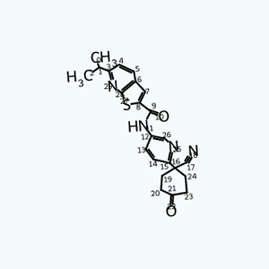 CC(C)c1ccc2cc(C(=O)Nc3ccc(C4(C#N)CCC(=O)CC4)nc3)sc2n1